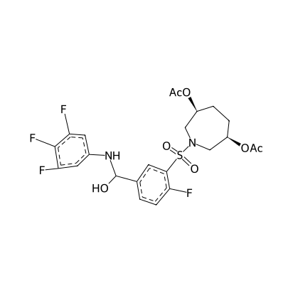 CC(=O)O[C@@H]1CC[C@H](OC(C)=O)CN(S(=O)(=O)c2cc(C(O)Nc3cc(F)c(F)c(F)c3)ccc2F)C1